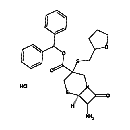 Cl.NC1C(=O)N2CC(SCC3CCCO3)(C(=O)OC(c3ccccc3)c3ccccc3)CS[C@H]12